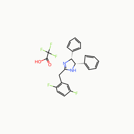 Fc1ccc(F)c(CC2=N[C@H](c3ccccc3)[C@H](c3ccccc3)N2)c1.O=C(O)C(F)(F)F